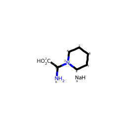 NC(C(=O)O)N1CCCCC1.[NaH]